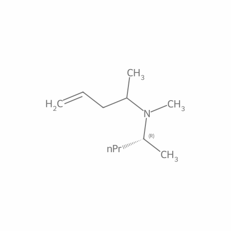 C=CCC(C)N(C)[C@H](C)CCC